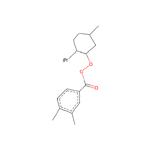 Cc1ccc(C(=O)OO[C]2CC(C)CCC2C(C)C)cc1C